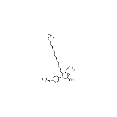 C=Cc1ccc(C(CC(=O)O)C(CCC)CCCCCCCCCCCCCC)cc1